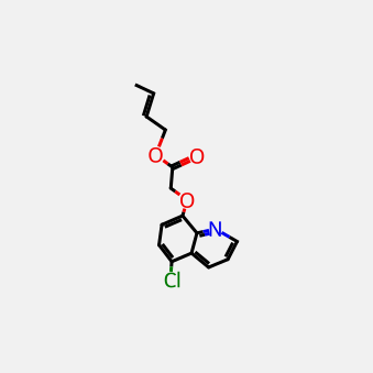 CC=CCOC(=O)COc1ccc(Cl)c2cccnc12